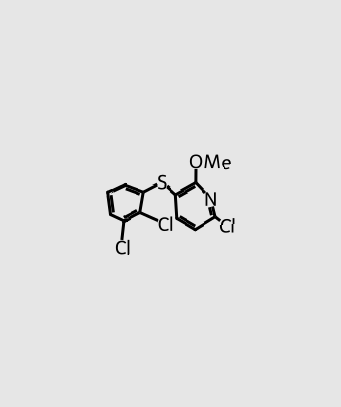 COc1nc(Cl)ccc1Sc1cccc(Cl)c1Cl